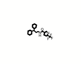 O=C(NCCC(c1ccccc1)c1ccccc1)c1ccc(C(F)(F)F)nc1